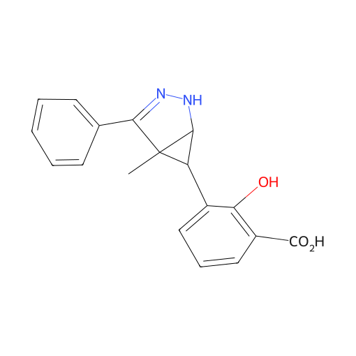 CC12C(c3ccccc3)=NNC1C2c1cccc(C(=O)O)c1O